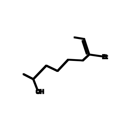 CC=C(CC)CCCCC(C)O